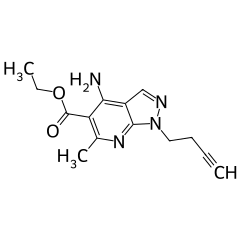 C#CCCn1ncc2c(N)c(C(=O)OCC)c(C)nc21